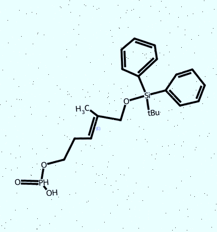 C/C(=C\CCO[PH](=O)O)CO[Si](c1ccccc1)(c1ccccc1)C(C)(C)C